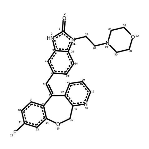 O=c1[nH]c2cc(C=C3c4ccc(F)cc4OCc4ncccc43)ccc2n1CCN1CCOCC1